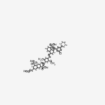 COc1cc(N=Nc2cc3c(S(=O)(=O)O)cc(SOOO)cc3cc2S(=O)(=O)O)c(C)cc1N=Nc1ccc(Nc2nc(Cl)nc(N3CCCCC3)n2)c2c(S(=O)(=O)O)cccc12